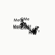 C=C(CN1CCC[C@@H](n2nc(-c3ccc(Oc4ccccc4)cc3)c3c(N)ncnc32)C1)C(=O)NCCNC(=O)CCOCCOCCNC(=O)COc1cccc(C(CCc2ccc(OC)c(OC)c2)OC(=O)[C@H]2CCCCN2C(=O)[C@@H](CC)c2cc(OC)c(OC)c(OC)c2)c1